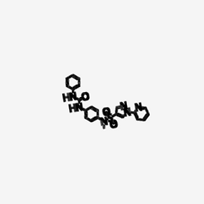 CN(c1ccc(NC(=O)Nc2ccccc2)cc1)S(=O)(=O)c1cnn(-c2ccccn2)c1